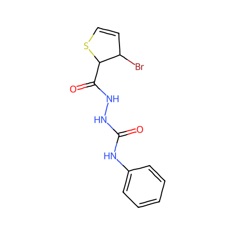 O=C(NNC(=O)C1SC=CC1Br)Nc1ccccc1